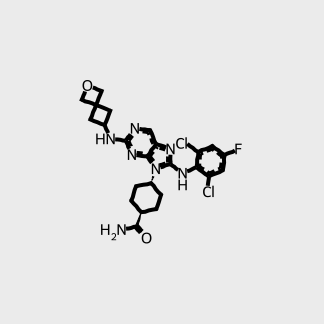 NC(=O)[C@H]1CC[C@H](n2c(Nc3c(Cl)cc(F)cc3Cl)nc3cnc(NC4CC5(COC5)C4)nc32)CC1